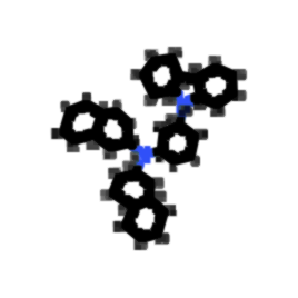 c1cc(N(c2ccc3ccccc3c2)c2ccc3ccccc3c2)cc(-n2c3ccccc3c3ccccc32)c1